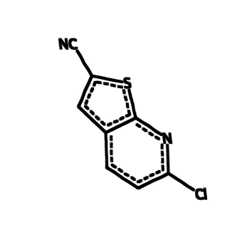 N#Cc1cc2ccc(Cl)nc2s1